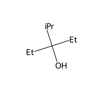 CCC(O)(CC)C(C)C